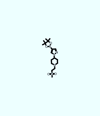 CC1(C)OB(c2cnn(C3CCN(CCS(C)(=O)=O)CC3)c2)OC1(C)C